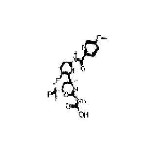 COc1ccc(C(=O)Nc2ccc(F)c([C@]3(C)C[C@@H](C(F)(F)F)OC(NC(=O)O)=N3)n2)nc1